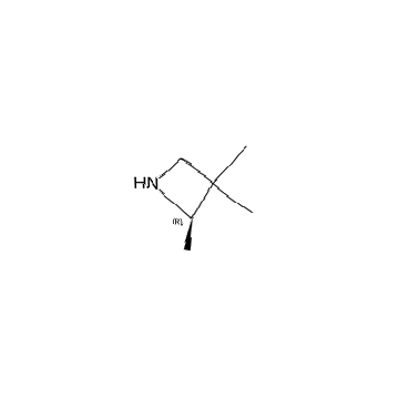 C[C@H]1NCC1(C)C